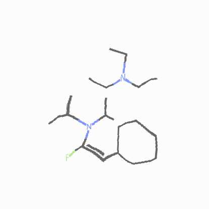 CC(C)N(/C(F)=C\C1CCCCC1)C(C)C.CCN(CC)CC